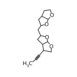 CC#CC1COC2OC(CC3CC4CCOC4O3)CC12